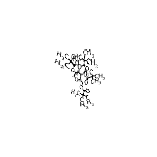 CC(C)(C)C(=O)OC[C@H]1O[CH][C@@H](OC(=O)C(C)(C)C)[C@@H](OC(=O)C(C)(C)C)[C@@H]1OC(=O)C(C)(C)C